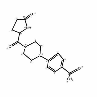 CC(=O)c1ccc(N2CCN(C(=O)C3CCC(=O)N3)CC2)cc1